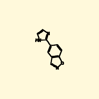 c1c[nH]c(-c2ccc3oncc3c2)n1